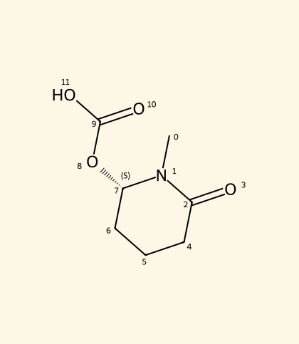 CN1C(=O)CCC[C@@H]1OC(=O)O